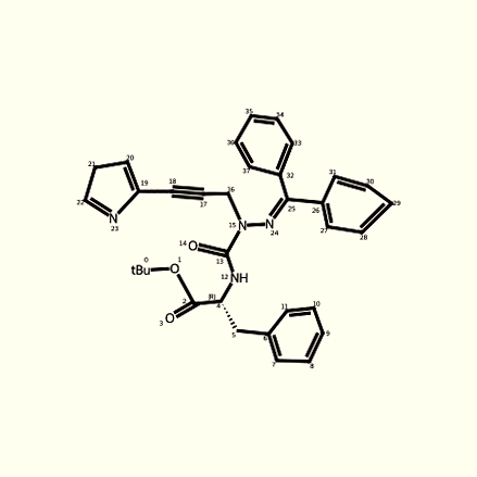 CC(C)(C)OC(=O)[C@@H](Cc1ccccc1)NC(=O)N(CC#CC1=CCC=N1)N=C(c1ccccc1)c1ccccc1